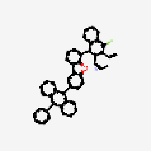 C=Cc1c(/C=C\C)c(-c2cccc3c2oc2ccc(-c4c5ccccc5c(-c5ccccc5)c5ccccc45)cc23)c2ccccc2c1F